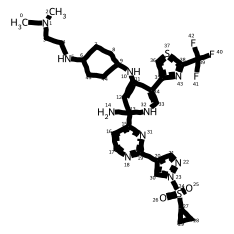 CN(C)CCNC1CCC(NC2=CC(N)(c3ccnc(-c4cnn(S(=O)(=O)C5CC5)c4)n3)NC=C2c2csc(C(F)(F)F)n2)CC1